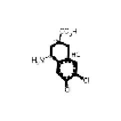 Cl.N[C@@H]1C[C@@H](C(=O)O)Cc2cc(Cl)c(Cl)cc21